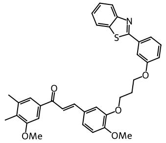 COc1ccc(/C=C/C(=O)c2cc(C)c(C)c(OC)c2)cc1OCCCOc1cccc(-c2nc3ccccc3s2)c1